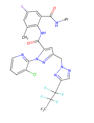 Cc1cc(I)cc(C(=O)NC(C)C)c1NC(=O)c1cc(Cn2ncc(C(F)(F)C(F)(F)C(F)(F)F)n2)nn1-c1ncccc1Cl